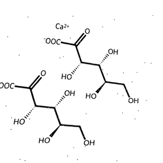 O=C([O-])C(=O)[C@@H](O)[C@H](O)[C@H](O)CO.O=C([O-])C(=O)[C@@H](O)[C@H](O)[C@H](O)CO.[Ca+2]